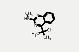 CPc1nc(C(C)(C)C)c2ccccc2n1